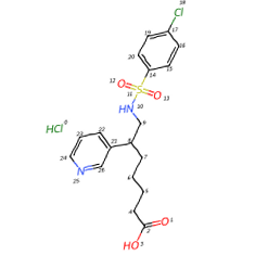 Cl.O=C(O)CCCCC(CNS(=O)(=O)c1ccc(Cl)cc1)c1cccnc1